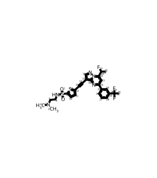 CN(C)CCNS(=O)(=O)c1ccc(C#Cc2cnn3c(C(F)F)cc(-c4cccc(C(F)(F)F)c4)nc23)s1